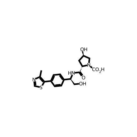 Cc1ncsc1-c1ccc([C@H](CO)NC(=O)[C@@H]2C[C@@H](O)CN2C(=O)O)cc1